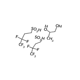 CC(O)CO.O=S(=O)(O)CCC(F)(F)C(F)(F)F.O=S(=O)(O)CCC(F)(F)C(F)(F)F